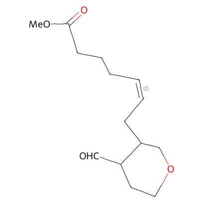 COC(=O)CCC/C=C\CC1COCCC1C=O